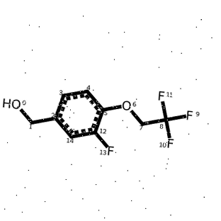 OCc1ccc(OCC(F)(F)F)c(F)c1